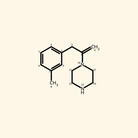 C=C(Cc1cccc(C)c1)N1CCNCC1